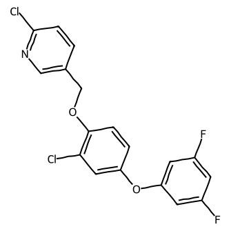 Fc1cc(F)cc(Oc2ccc(OCc3ccc(Cl)nc3)c(Cl)c2)c1